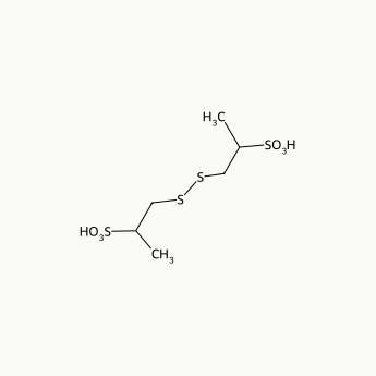 CC(CSSCC(C)S(=O)(=O)O)S(=O)(=O)O